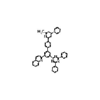 Cc1cc(-c2ccccc2)cc(-c2ccc(-c3cc(-c4ccc5ccccc5n4)cc(-c4nc(-c5ccccc5)nc(-c5ccccc5)n4)c3)cc2)n1